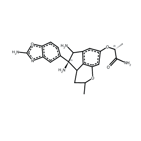 CC1CC2c3c(cc(O[C@H](C)C(N)=O)cc3C(N)[C@@]2(N)c2ccc3oc(N)nc3c2)O1